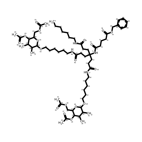 CCCCCCCNC(=O)CCC(CCC(=O)NCCCCCCOC1OC(COC(C)=O)C(OC(C)=O)C(C)C1C)(CCC(=O)NCCCCCCOC1OC(COC(C)=O)C(OC(C)=O)C(C)C1C)NC(=O)CCCC(=O)OCc1ccccc1